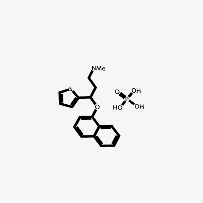 CNCCC(Oc1cccc2ccccc12)c1cccs1.O=P(O)(O)O